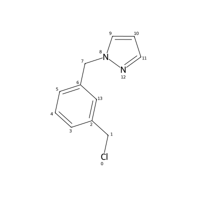 ClCc1cccc(Cn2cccn2)c1